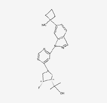 CC(C)(O)[C@H]1CN(c2cc(-n3ncc4ccc(C5(C#N)CCC5)cc43)ncn2)C[C@H]1F